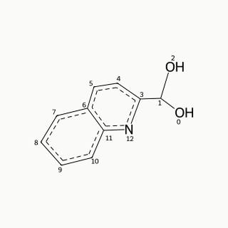 OC(O)c1ccc2ccccc2n1